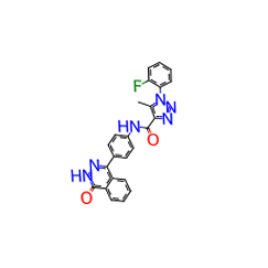 Cc1c(C(=O)Nc2ccc(-c3n[nH]c(=O)c4ccccc34)cc2)nnn1-c1ccccc1F